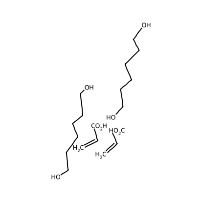 C=CC(=O)O.C=CC(=O)O.OCCCCCCO.OCCCCCCO